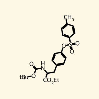 CCOC(=O)C(Cc1ccc(OS(=O)(=O)c2ccc(C)cc2)cc1)NC(=O)OC(C)(C)C